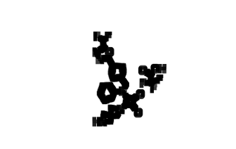 O=C(O)C(F)(F)F.O=c1c(N2CC3(CNC3)C2)c(N(Cc2ccc(-c3nnc(C(F)F)o3)cc2)c2ccccc2)c1=O